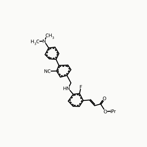 CC(C)OC(=O)/C=C/c1cccc(NCc2ccc(-c3ccc(N(C)C)cc3)c(C#N)c2)c1F